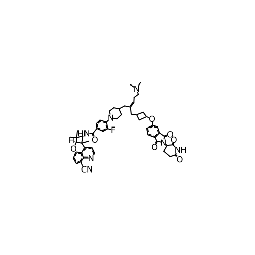 CN(C)CC/C=C(\CC1CCN(c2ccc(C(=O)NC3C(C)(C)[C@@H]4Oc5ccc(C#N)c6nccc(c56)C34C)cc2F)CC1)CC1CC(Oc2ccc3c(c2)C(=O)N(C2CCC(=O)NC2=O)C3=O)C1